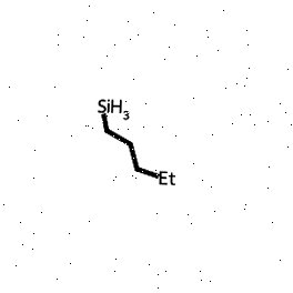 CCCCC[SiH3]